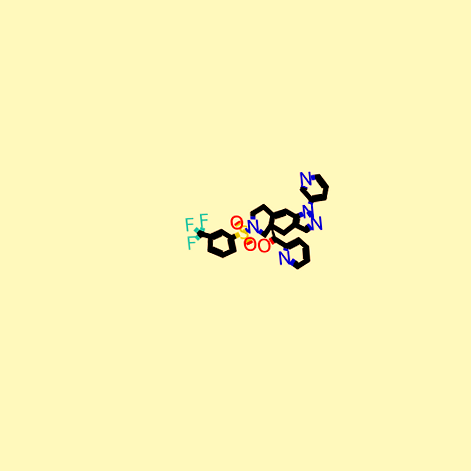 O=C(c1ccccn1)[C@]12Cc3cnn(-c4cccnc4)c3C=C1CCN(S(=O)(=O)c1cccc(C(F)(F)F)c1)C2